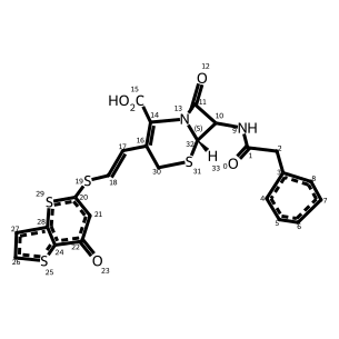 O=C(Cc1ccccc1)NC1C(=O)N2C(C(=O)O)=C(C=CSc3cc(=O)c4sccc4s3)CS[C@@H]12